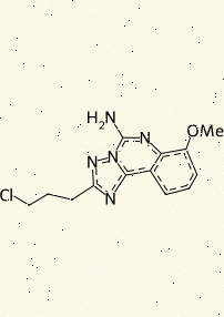 COc1cccc2c1nc(N)n1nc(CCCCl)nc21